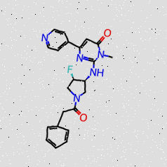 Cn1c(N[C@H]2CN(C(=O)Cc3ccccc3)C[C@H]2F)nc(-c2ccncc2)cc1=O